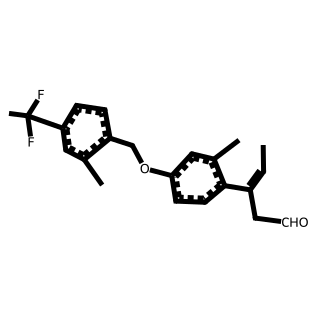 C/C=C(/CC=O)c1ccc(OCc2ccc(C(C)(F)F)cc2C)cc1C